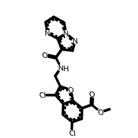 COC(=O)c1cc(Cl)cc2c(Cl)c(CNC(=O)c3cnn4cccnc34)oc12